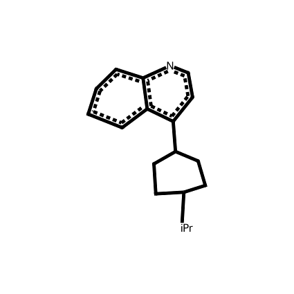 CC(C)C1CCC(c2ccnc3ccccc23)CC1